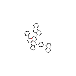 c1ccc(-c2ccc(-c3ccccc3N(c3ccc(-c4cccc5ccccc45)cc3)c3cccc(-c4cccc5c4ccc4ccccc45)c3)cc2)cc1